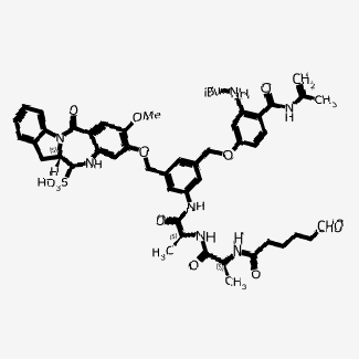 C=C(C)NC(=O)c1ccc(OCc2cc(COc3cc4c(cc3OC)C(=O)N3c5ccccc5C[C@H]3C(S(=O)(=O)O)N4)cc(NC(=O)[C@H](C)NC(=O)[C@H](C)NC(=O)CCCCC=O)c2)cc1NC(C)CC